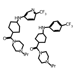 CC(C)N1CCN(C(=O)C2CCC(Nc3ccc(C(F)(F)F)cc3)CC2)CC1.CC(C)N1CCN(C(=O)C2CCC(Nc3ccc(C(F)(F)F)nc3)CC2)CC1